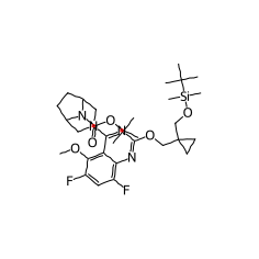 COc1c(F)cc(F)c2nc(OCC3(CO[Si](C)(C)C(C)(C)C)CC3)nc(N3CC4CCC(C3)N4C(=O)OC(C)(C)C)c12